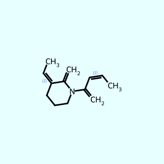 C=C(/C=C\C)N1CCC/C(=C/C)C1=C